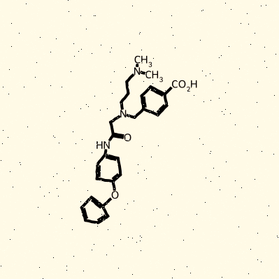 CN(C)CCCN(CC(=O)Nc1ccc(Oc2ccccc2)cc1)Cc1ccc(C(=O)O)cc1